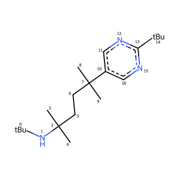 CC(C)(C)NC(C)(C)CCC(C)(C)c1cnc(C(C)(C)C)nc1